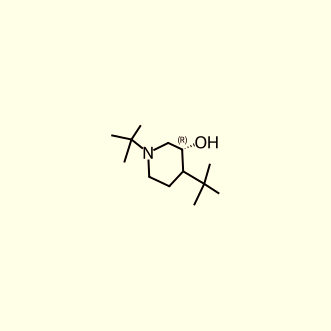 CC(C)(C)C1CCN(C(C)(C)C)C[C@@H]1O